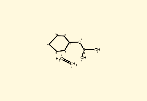 C=C.OB(O)OC1CCCCC1